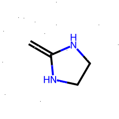 C=C1NCCN1